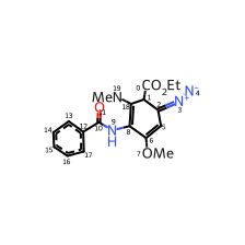 CCOC(=O)C1C(=[N+]=[N-])C=C(OC)C(NC(=O)c2ccccc2)=C1NC